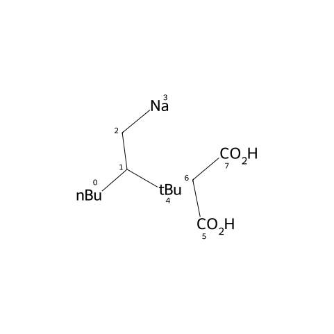 CCCCC([CH2][Na])C(C)(C)C.O=C(O)CC(=O)O